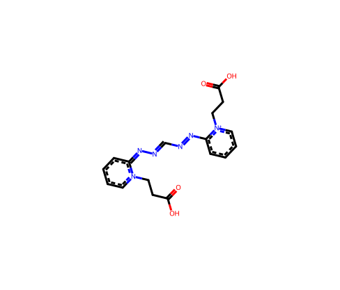 O=C(O)CCn1ccccc1=NN=CN=Nc1cccc[n+]1CCC(=O)O